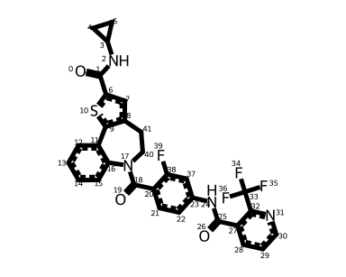 O=C(NC1CC1)c1cc2c(s1)-c1ccccc1N(C(=O)c1ccc(NC(=O)c3cccnc3C(F)(F)F)cc1F)CC2